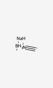 B.C#N.[NaH]